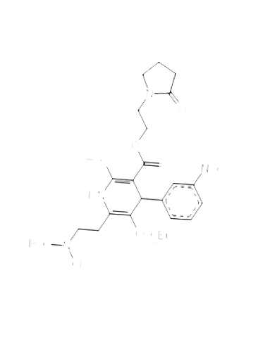 CCOC(=O)C1=C(CCN(C)C)NC(C)=C(C(=O)OCCN2CCCC2=O)C1c1cccc([N+](=O)[O-])c1